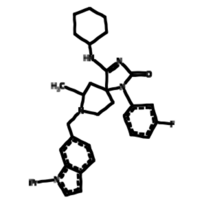 CC1CC2(CCN1Cc1ccc3ccn(C(C)C)c3c1)C(NC1CCCCC1)=NC(=O)N2c1cccc(F)c1